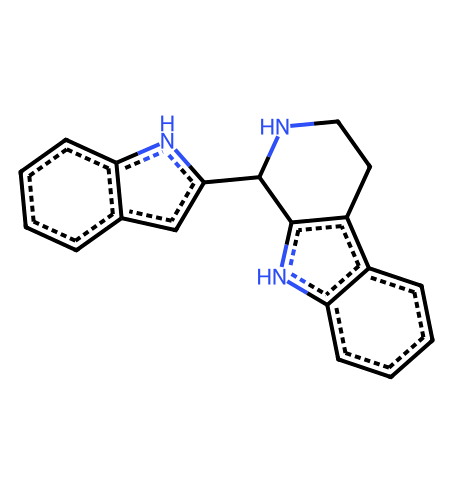 c1ccc2[nH]c(C3NCCc4c3[nH]c3ccccc43)cc2c1